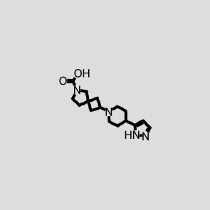 O=C(O)N1CCC2(CC(N3CCC(c4ccn[nH]4)CC3)C2)C1